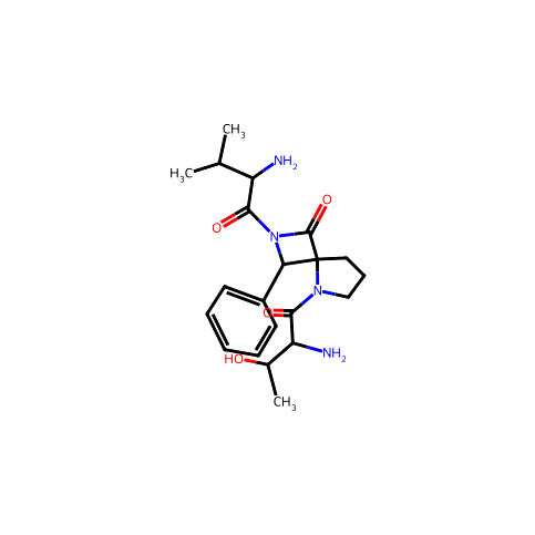 CC(C)C(N)C(=O)N1C(=O)C2(CCCN2C(=O)C(N)C(C)O)C1c1ccccc1